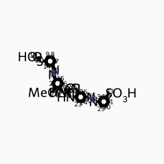 COc1cc(/N=N/c2cccc(SOO)c2)ccc1NC(=O)Nc1ccc(/N=N/c2cccc(S(=O)(=O)O)c2)cc1OC